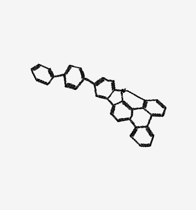 c1ccc(-c2ccc(-c3ccc4c(c3)c3ccc5c6ccccc6c6cccc7c6c5c3n47)cc2)cc1